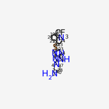 CC1(N)CCN(c2nc3nc(Sc4ccnc5c(C(F)(F)F)cccc45)cnc3[nH]2)CC1